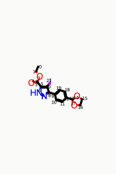 CCOC(=O)c1[nH]nc(-c2ccc(C3OCCO3)cc2)c1I